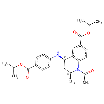 CC(=O)N1c2ccc(C(=O)OC(C)C)cc2[C@H](Nc2ccc(C(=O)OC(C)C)cc2)C[C@@H]1C